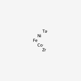 [Co].[Fe].[Ni].[Ta].[Zr]